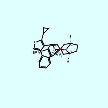 CCOC(=O)c1ccc(N2[C@@H]3CC[C@H]2CC(OCc2c(-c4ccccc4OC(F)(F)F)noc2C2CC2)C3)cc1